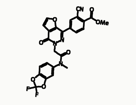 COC(=O)c1ccc(-c2nn(CC(=O)N(C)c3ccc4c(c3)OC(F)(F)O4)c(=O)c3ccoc23)cc1C#N